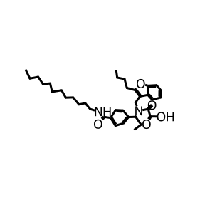 CCCCCCCCCCCCNC(=O)c1ccc(C(CC)N(Cc2c(CCCC)oc3ccccc23)C(=O)C(=O)O)cc1